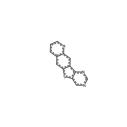 c1cnc2cc3c(cc2c1)sc1cncnc13